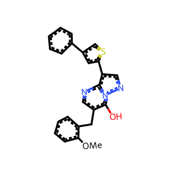 COc1ccccc1Cc1cnc2c(-c3cc(-c4ccccc4)cs3)cnn2c1O